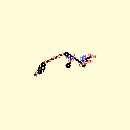 CC(=O)O[C@@H]1CC[C@@H]2[C@H]3CCc4cc(OCCOCCOCCOCCOc5ccc(CC(NC(=O)OCc6ccccc6)C(=O)NCCCCC(NC(=O)NC(CCC(=O)O)C(=O)O)C(=O)OC(C)(C)C)cc5)ccc4[C@@H]3CC[C@]21C